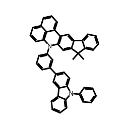 CC1(C)c2ccccc2-c2cc3c(cc21)N(c1cccc(-c2ccc4c(c2)c2ccccc2n4-c2ccccc2)c1)c1cccc2cccc-3c12